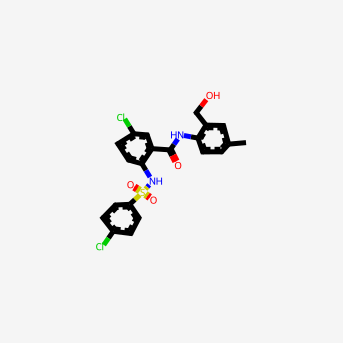 Cc1ccc(NC(=O)c2cc(Cl)ccc2NS(=O)(=O)c2ccc(Cl)cc2)c(CO)c1